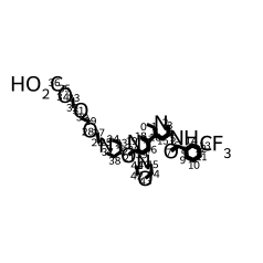 Cc1ncc(NC(=O)c2cccc(C(F)(F)F)c2)cc1-c1cnc(OC2CCN(CCOCCOCCOCC(=O)O)CC2)c(N2CCOCC2)c1